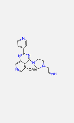 COc1cncc2nc(-c3ccncc3)nc(N3CCN(CC=N)CC3)c12